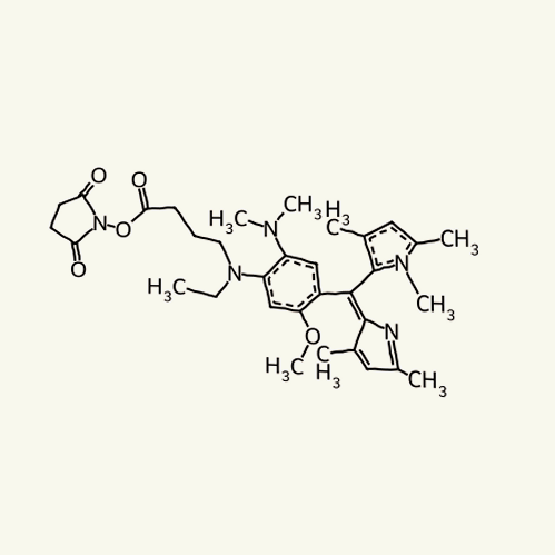 CCN(CCCC(=O)ON1C(=O)CCC1=O)c1cc(OC)c(/C(=C2/N=C(C)C=C2C)c2c(C)cc(C)n2C)cc1N(C)C